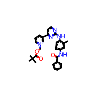 Cc1cc(NC(=O)c2ccccc2)ccc1Nc1nccc(-c2ccc[n+](COC(=O)C(C)(C)C)c2)n1